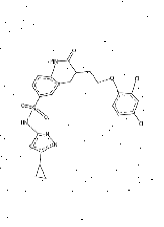 O=C1Nc2ccc(S(=O)(=O)Nc3nnc(C4CC4)s3)cc2CC1CCOc1ccc(Cl)cc1Cl